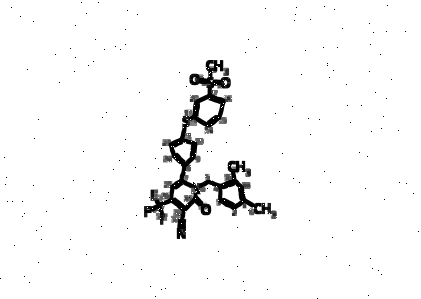 Cc1ccc(Cn2c(-c3ccc(Sc4cccc(S(C)(=O)=O)c4)cc3)cc(C(F)(F)F)c(C#N)c2=O)c(C)c1